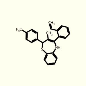 C=Cc1ccccc1C1=C(C)C(c2ccc(C(F)(F)F)cc2)Sc2ccccc2N1